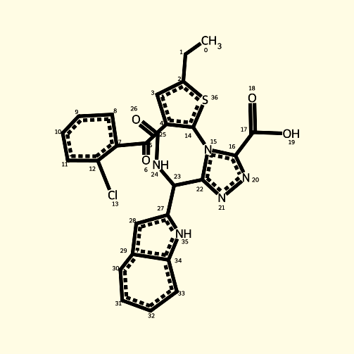 CCc1cc(C(=O)c2ccccc2Cl)c(-n2c(C(=O)O)nnc2C(NC=O)c2cc3ccccc3[nH]2)s1